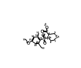 COC(=O)C1CSCCN1S(=O)(=O)c1c(C)cc(OC)cc1C